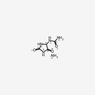 NC(=O)NC1NC(=O)NC1=O.[AlH3]